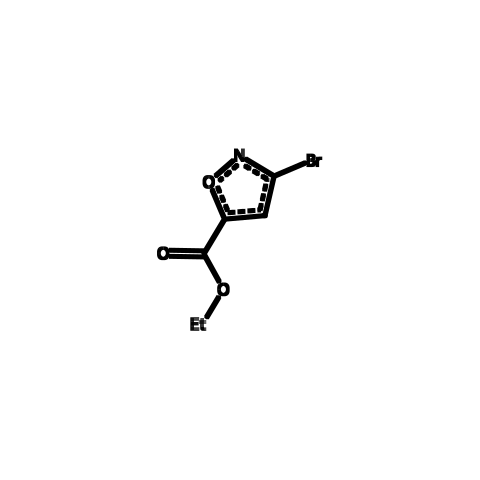 CCOC(=O)c1cc(Br)no1